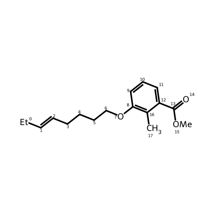 CCC=CCCCCOc1cccc(C(=O)OC)c1C